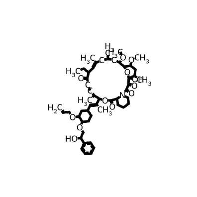 C=CCOC1CC(C=C(C)C2OC(=O)C3CCCCN3C(=O)C(=O)C3(O)OC(C(OC)CC(C)C/C(C)=C/C(CC)C(=O)CCC2C)C(OC)CC3C)CCC1OCC(O)c1ccccc1